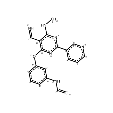 CNc1nc(-c2cccnc2)nc(Oc2cccc(NC=O)c2)c1C=N